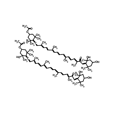 CC(=O)OC1CC(C)(C)C(=C=C/C(C)=C/C=C/C(C)=C/C=C/C=C(C)/C=C/C=C(\C)C(=O)/C=C2/C(C)(C)CC(O)CC2(C)O)C(C)(O)C1.CC(=O)OC1CC(C)(C)C(=C=C/C(C)=C/C=C/C(C)=C/C=C/C=C(C)/C=C/C=C(\C)C(=O)/C=C2/C(C)(C)CC(O)CC2(C)O)C(C)(O)C1